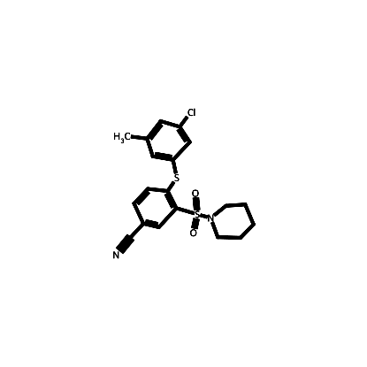 Cc1cc(Cl)cc(Sc2ccc(C#N)cc2S(=O)(=O)N2CCCCC2)c1